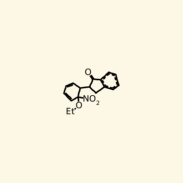 CCOC1([N+](=O)[O-])C=CC=CC1C1Cc2ccccc2C1=O